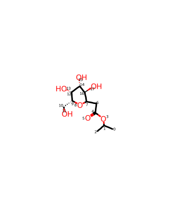 CC(C)OC(=O)CC1O[C@H](CO)[C@H](O)[C@H](O)[C@H]1O